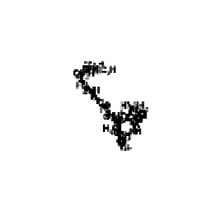 CN1C(=O)[C@@H](Cc2ccc(O)cc2)NC(=O)CNC(=O)[C@H](Cc2ccc3ccccc3c2)NC(=O)[C@H](CCCNC(=N)N)NC(=O)[C@H]1CCCNC(=O)CNC(=O)COCCOCCNC(=O)CNCCN(CCN(CCNCC(=O)O)CC(=O)O)CC(=O)O